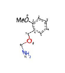 COc1ccccc1COCN